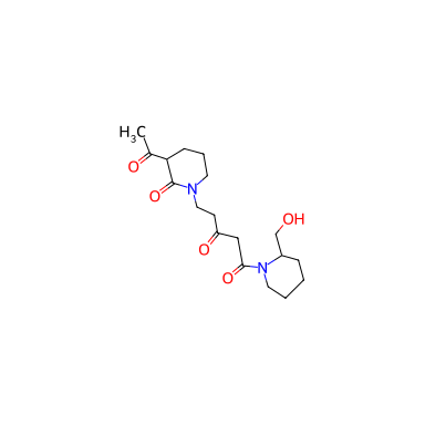 CC(=O)C1CCCN(CCC(=O)CC(=O)N2CCCCC2CO)C1=O